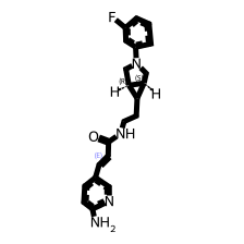 Nc1ccc(/C=C/C(=O)NCCC2[C@H]3CN(c4cccc(F)c4)C[C@@H]23)cn1